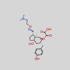 CN(C)CCON=C[C@H]1CC[C@]2(O)C[C@@H](Cc3ccc(O)cc3)CC[C@]12C.O=C(O)C(=O)O